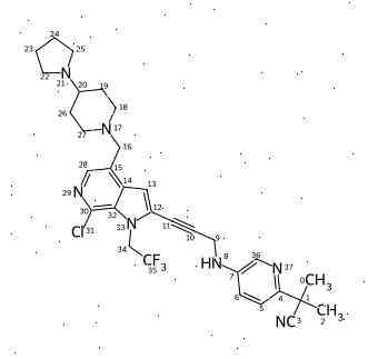 CC(C)(C#N)c1ccc(NCC#Cc2cc3c(CN4CCC(N5CCCC5)CC4)cnc(Cl)c3n2CC(F)(F)F)cn1